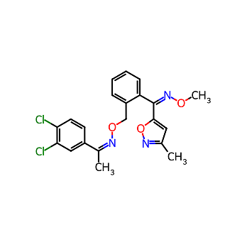 CON=C(c1cc(C)no1)c1ccccc1CON=C(C)c1ccc(Cl)c(Cl)c1